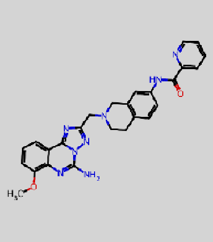 COc1cccc2c1nc(N)n1nc(CN3CCc4ccc(NC(=O)c5ccccn5)cc4C3)nc21